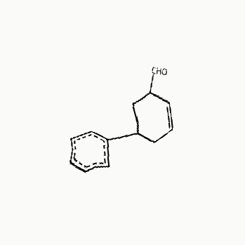 O=CC1C=CCC(c2ccccc2)C1